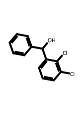 OC(c1ccccc1)c1cccc(Cl)c1Cl